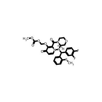 COC(=O)OCOc1c2n(ccc1=O)N(C(c1ccc(F)c(F)c1)c1ccccc1SC)[C@@H]1COCCN1C2=O